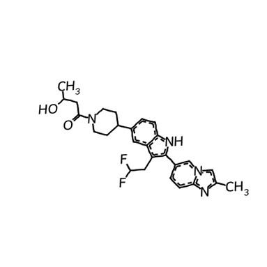 Cc1cn2cc(-c3[nH]c4ccc(C5CCN(C(=O)CC(C)O)CC5)cc4c3CC(F)F)ccc2n1